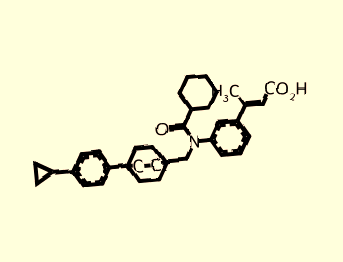 C/C(=C\C(=O)O)c1cccc(N(CC23CCC(c4ccc(C5CC5)cc4)(CC2)CC3)C(=O)C2CCCCC2)c1